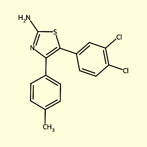 Cc1ccc(-c2nc(N)sc2-c2ccc(Cl)c(Cl)c2)cc1